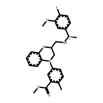 COC(=O)c1cc(N2CC(CN[C@H](C)c3ccc(F)c(OC)c3)Oc3ccccc32)ccc1C